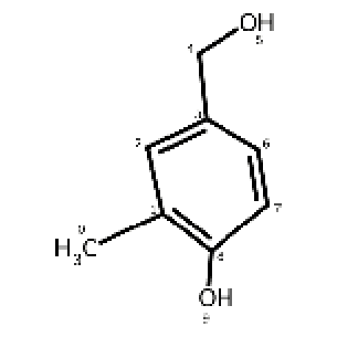 Cc1cc(CO)ccc1O